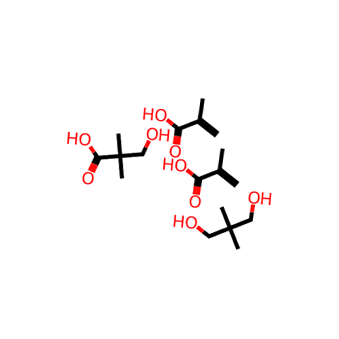 C=C(C)C(=O)O.C=C(C)C(=O)O.CC(C)(CO)C(=O)O.CC(C)(CO)CO